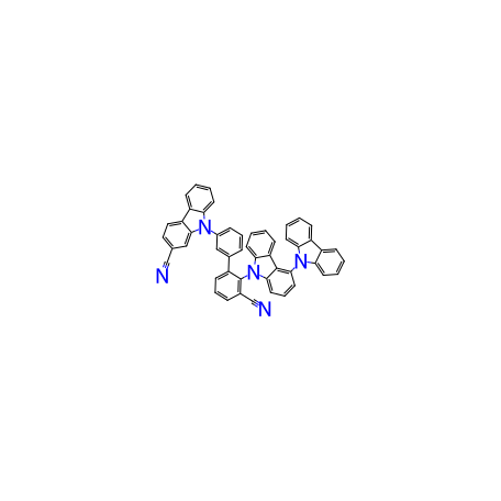 N#Cc1ccc2c3ccccc3n(-c3cccc(-c4cccc(C#N)c4-n4c5ccccc5c5c(-n6c7ccccc7c7ccccc76)cccc54)c3)c2c1